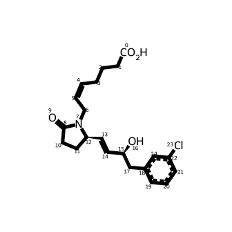 O=C(O)CCC/C=C\CN1C(=O)CC[C@@H]1/C=C/[C@@H](O)Cc1cccc(Cl)c1